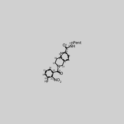 CCCCCNC(=O)c1ccc2c(n1)CCN(C(=O)c1cccc(F)c1[N+](=O)[O-])C2